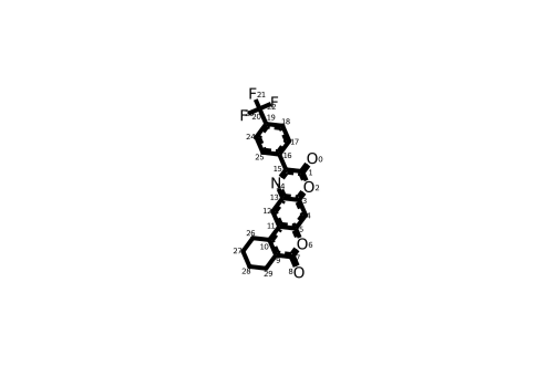 O=c1oc2cc3oc(=O)c4c(c3cc2nc1-c1ccc(C(F)(F)F)cc1)CCCC4